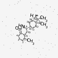 Cc1cccc2c(=O)[nH]c(-c3ccc(C(C)(C)C)cc3)cc12